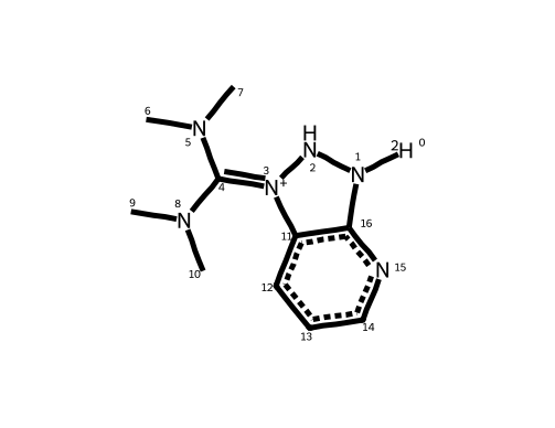 [2H]N1N[N+](=C(N(C)C)N(C)C)c2cccnc21